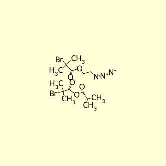 CC(C)(Br)C(=O)OCCN=[N+]=[N-].CC(C)C(=O)OC(=O)C(C)(C)Br